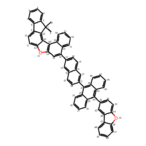 CC1(C)c2ccccc2-c2ccc3oc4cc(-c5ccc6cc(-c7c8ccccc8c(-c8ccc9oc%10ccccc%10c9c8)c8ccccc78)ccc6c5)c5ccccc5c4c3c21